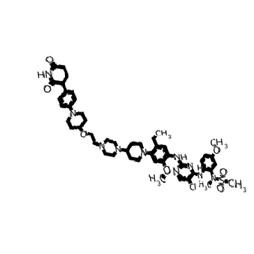 CCc1cc(Nc2ncc(Cl)c(Nc3ccc(OC)cc3N(C)S(C)(=O)=O)n2)c(OC)cc1N1CCC(N2CCN(CCOC3CCN(c4ccc(C5CCC(=O)NC5=O)cc4)CC3)CC2)CC1